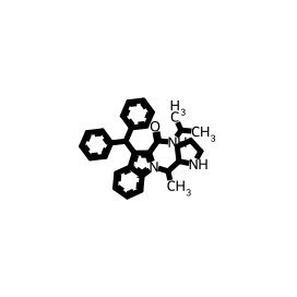 CC(C)NC(=O)c1c(C(c2ccccc2)c2ccccc2)c2ccccc2n1C(C)C1CCCN1